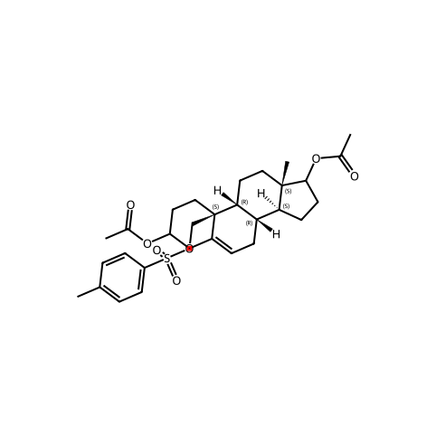 CC(=O)OC1CC[C@@]2(COS(=O)(=O)c3ccc(C)cc3)C(=CC[C@@H]3[C@H]2CC[C@]2(C)C(OC(C)=O)CC[C@@H]32)C1